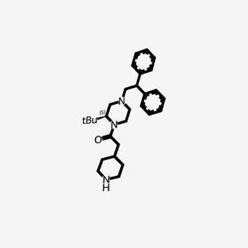 CC(C)(C)[C@H]1CN(CC(c2ccccc2)c2ccccc2)CCN1C(=O)CC1CCNCC1